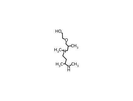 CNC(C)CCN(C)CC(C)COCCO